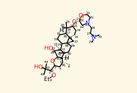 CCO[C@@H](C1C[C@@H](C)[C@H]2C(O1)[C@H](O)[C@@]1(C)C3CC[C@H]4C(C)(C)[C@@H](O[C@H]5CN(CCN(C)C)CCO5)CC[C@@]45C[C@@]35CC[C@]21C)C(C)(C)O